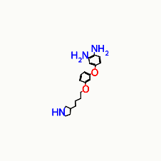 Nc1ccc(Oc2cccc(OCCCCC3CCNC3)c2)cc1N